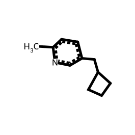 Cc1ccc(CC2CCC2)cn1